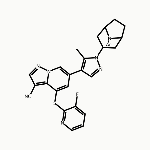 CC(=O)N1C2CCC1CC(n1ncc(-c3cc(Sc4ncccc4F)c4c(C#N)cnn4c3)c1C)C2